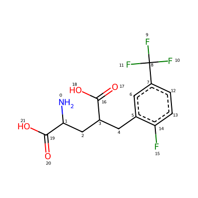 NC(CC(Cc1cc(C(F)(F)F)ccc1F)C(=O)O)C(=O)O